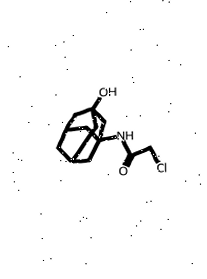 O=C(CCl)NC12CC3CC(CC(O)(C3)C1)C2